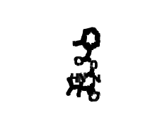 Cc1ccccc1C(=O)OC1=NC(=O)C(C)(C(C)C)N1